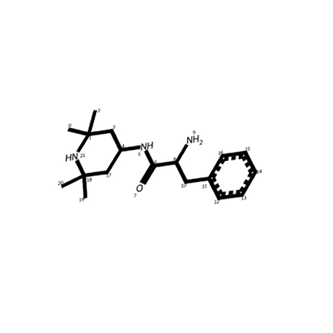 CC1(C)CC(NC(=O)C(N)Cc2ccccc2)CC(C)(C)N1